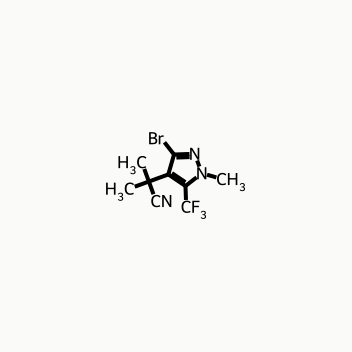 Cn1nc(Br)c(C(C)(C)C#N)c1C(F)(F)F